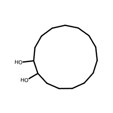 OC1CCCCCCCCCCCCCC1O